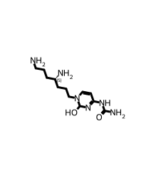 NCCC[C@H](N)CCCN1C=CC(NC(N)=O)=NC1O